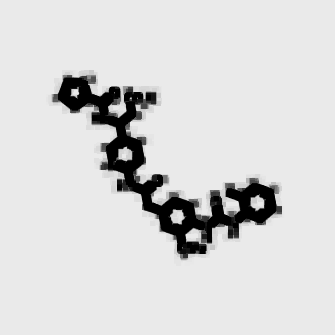 COc1cc(CC(=O)Nc2ccc(C(CC(=O)O)NC(=O)c3cccs3)cn2)ccc1NC(=O)Nc1ccccc1C